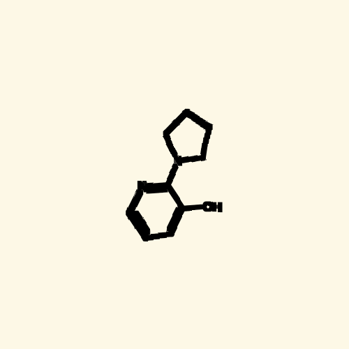 Oc1cccnc1N1CCCC1